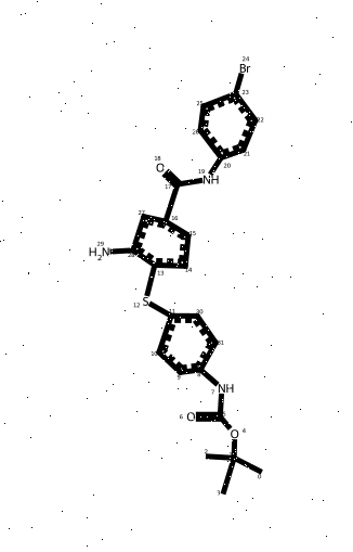 CC(C)(C)OC(=O)Nc1ccc(Sc2ccc(C(=O)Nc3ccc(Br)cc3)cc2N)cc1